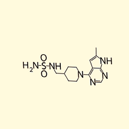 Cc1cc2c(N3CCC(CNS(N)(=O)=O)CC3)ncnc2[nH]1